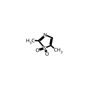 CC1=CN=C(C)S1(=O)=O